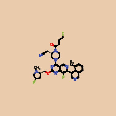 Cc1cccc2cncc(-c3ncc4c(N5CCN(C(=O)/C=C/CF)[C@@H](CC#N)C5)nc(OC[C@@H]5C[C@@H](F)CN5C)nc4c3F)c12